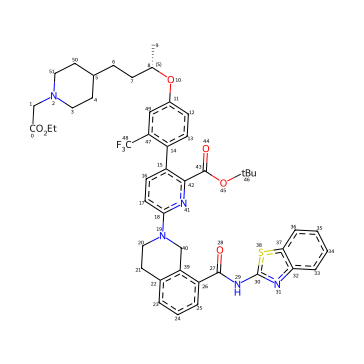 CCOC(=O)CN1CCC(CC[C@H](C)Oc2ccc(-c3ccc(N4CCc5cccc(C(=O)Nc6nc7ccccc7s6)c5C4)nc3C(=O)OC(C)(C)C)c(C(F)(F)F)c2)CC1